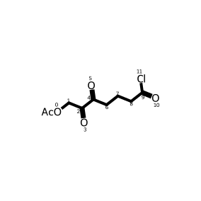 CC(=O)OCC(=O)C(=O)CCCC(=O)Cl